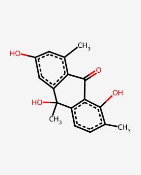 Cc1ccc2c(c1O)C(=O)c1c(C)cc(O)cc1C2(C)O